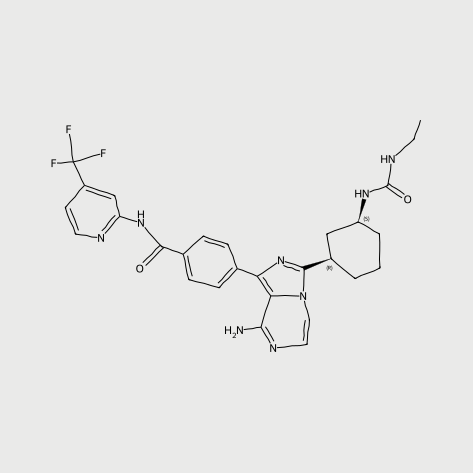 CCNC(=O)N[C@H]1CCC[C@@H](c2nc(-c3ccc(C(=O)Nc4cc(C(F)(F)F)ccn4)cc3)c3c(N)nccn23)C1